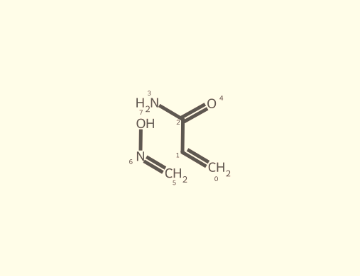 C=CC(N)=O.C=NO